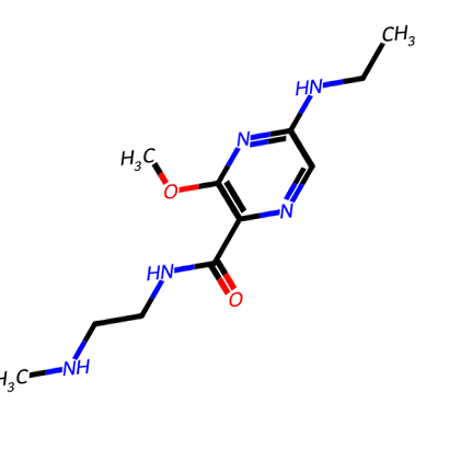 CCNc1cnc(C(=O)NCCNC)c(OC)n1